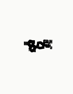 NC1(C(=O)O)CCN(c2ncnc3[nH]cnc23)CC1